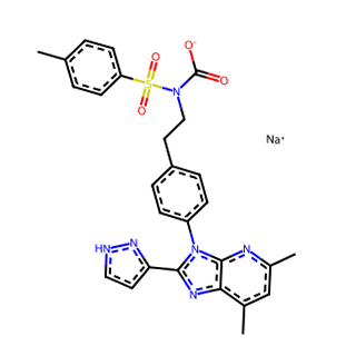 Cc1ccc(S(=O)(=O)N(CCc2ccc(-n3c(-c4cc[nH]n4)nc4c(C)cc(C)nc43)cc2)C(=O)[O-])cc1.[Na+]